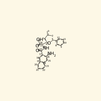 CC(C)C[C@@H](OCc1ccccc1)[C@H](NC(=O)c1cc2ccccc2cc1N)C(=O)O